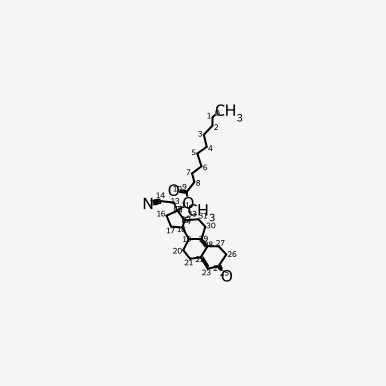 CCCCCCCCCC(=O)O[C@@]1(CC#N)CCC2C3CCC4=CC(=O)CCC4=C3CC[C@@]21C